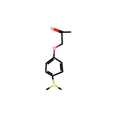 CC(=O)COc1ccc([S+](C)C)cc1